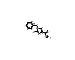 Cc1nc(C(N)=O)cn1Cc1ccccc1